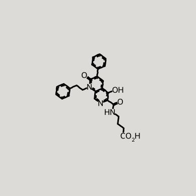 O=C(O)CCCNC(=O)c1ncc2c(cc(-c3ccccc3)c(=O)n2CCc2ccccc2)c1O